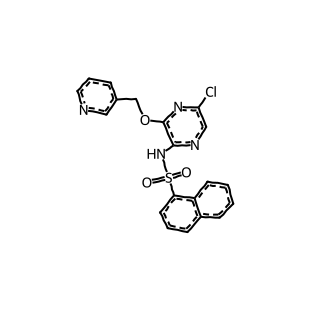 O=S(=O)(Nc1ncc(Cl)nc1OCc1cccnc1)c1cccc2ccccc12